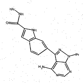 CCCNC(=O)c1cc2ccc(-c3nn(C(C)C)c4ncnc(N)c34)cc2[nH]1